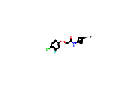 O=CC12CC(NC(=O)COc3ccc(Cl)c(F)c3)(C1)C2